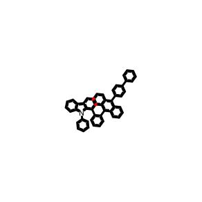 c1ccc(-c2ccc(-c3c4ccccc4c(-c4ccccc4-c4cccc5c6ccccc6n(-c6ccccc6)c45)c4ccccc34)cc2)cc1